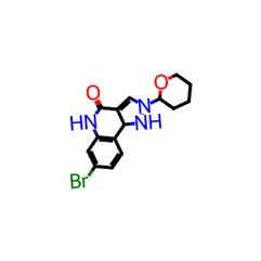 O=C1Nc2cc(Br)ccc2C2NN(C3CCCCO3)C=C12